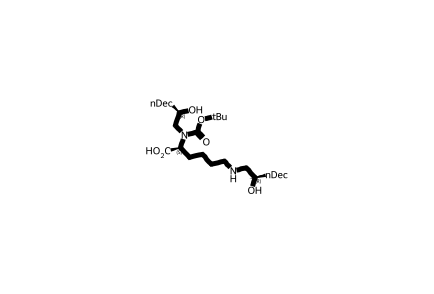 CCCCCCCCCC[C@@H](O)CNCCCC[C@@H](C(=O)O)N(C[C@H](O)CCCCCCCCCC)C(=O)OC(C)(C)C